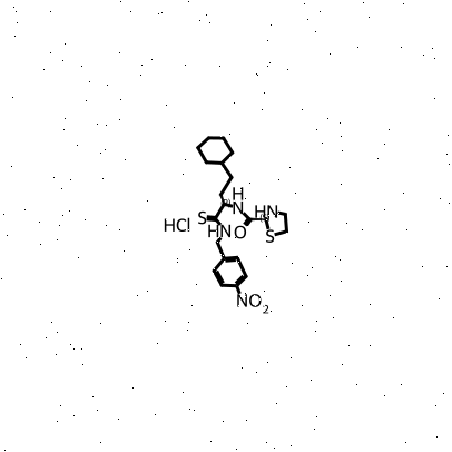 Cl.O=C(N[C@H](CCC1CCCCC1)C(=S)NCc1ccc([N+](=O)[O-])cc1)[C@H]1NCCS1